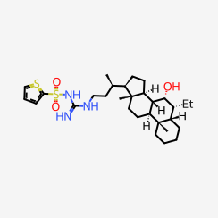 CC[C@H]1[C@@H](O)[C@@H]2[C@H](CC[C@]3(C)[C@@H]([C@H](C)CCNC(=N)NS(=O)(=O)c4cccs4)CC[C@@H]23)[C@@]2(C)CCCC[C@@H]12